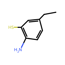 CCc1ccc(N)c(S)c1